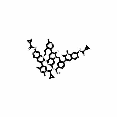 Cc1cc(CCn2c(=O)c(-c3ccc(C)nc3C)cc3cnc(NC(=O)C4CC4)cc32)c(-c2cc3cnc(NC(=O)C4CC4)cc3n(Cc3cc(CO)ncc3-c3cc4cnc(NC(=O)C5CC5)cc4n(C)c3=O)c2=O)cn1